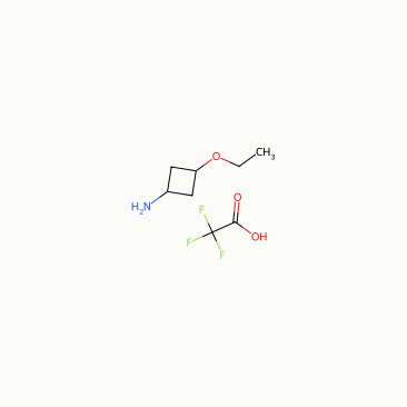 CCOC1CC(N)C1.O=C(O)C(F)(F)F